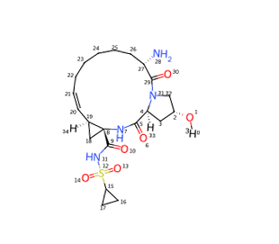 [3H]O[C@@H]1C[C@H]2C(=O)N[C@]3(C(=O)NS(=O)(=O)C4CC4)C[C@H]3/C=C\CCCCC[C@H](N)C(=O)N2C1